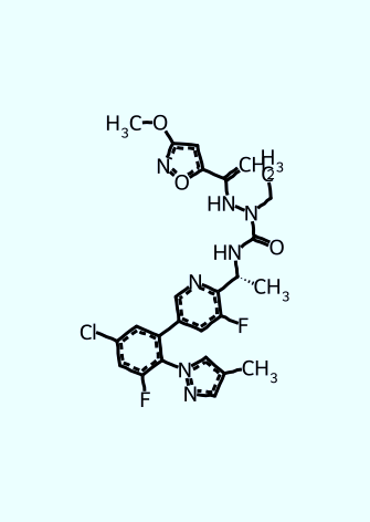 C=C(NN(CC)C(=O)N[C@H](C)c1ncc(-c2cc(Cl)cc(F)c2-n2cc(C)cn2)cc1F)c1cc(OC)no1